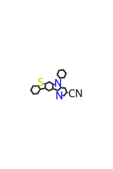 N#Cc1cnc2c3cc4c(cc3n(-c3ccccc3)c2c1)sc1ccccc14